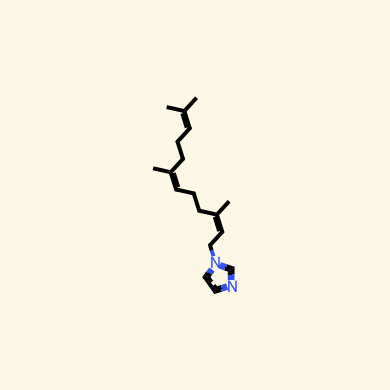 CC(C)=CCCC(C)=CCCC(C)=CCn1ccnc1